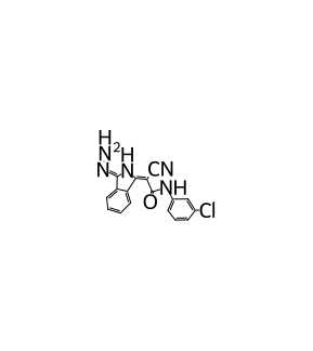 N#C/C(C(=O)Nc1cccc(Cl)c1)=C1\N/C(=N\N)c2ccccc21